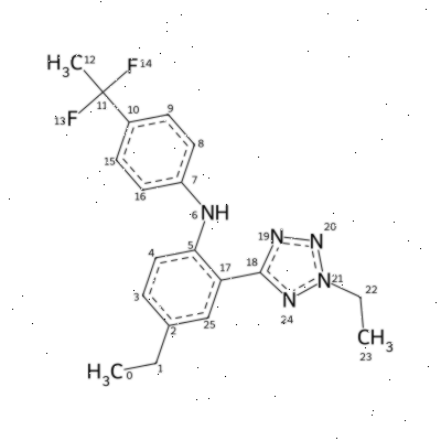 CCc1ccc(Nc2ccc(C(C)(F)F)cc2)c(-c2nnn(CC)n2)c1